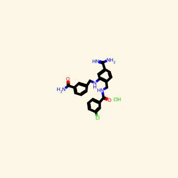 Cl.N=C(N)c1ccc(CNC(=O)c2cccc(Cl)c2)c(NCc2cccc(C(N)=O)c2)c1